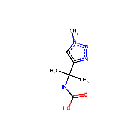 Cn1cc(C(C)(C)NC(=O)O)nn1